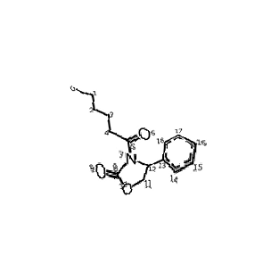 CCCCCC(=O)N1C(=O)OCC1c1ccccc1